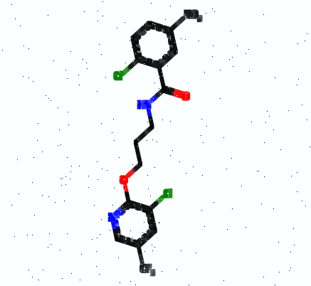 O=C(NCCCOc1ncc(C(F)(F)F)cc1Cl)c1cc([N+](=O)[O-])ccc1Cl